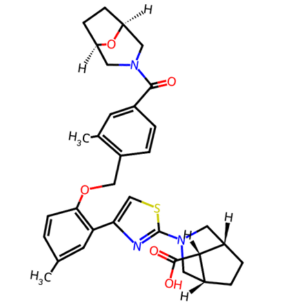 Cc1ccc(OCc2ccc(C(=O)N3C[C@H]4CC[C@@H](C3)O4)cc2C)c(-c2csc(N3C[C@H]4CC[C@@H](C3)[C@H]4C(=O)O)n2)c1